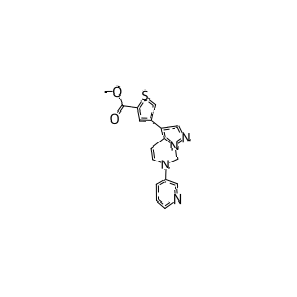 COC(=O)c1cc(-c2cnn3c2C=CN(c2cccnc2)C3)cs1